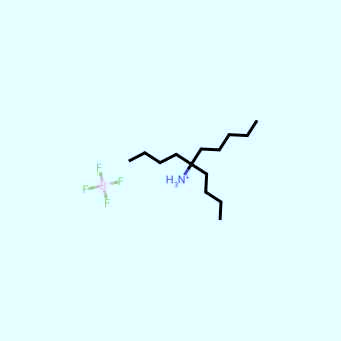 CCCCCC([NH3+])(CCCC)CCCC.F[B-](F)(F)F